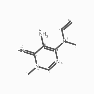 C=CN(C)c1ncn(C)c(=N)c1N